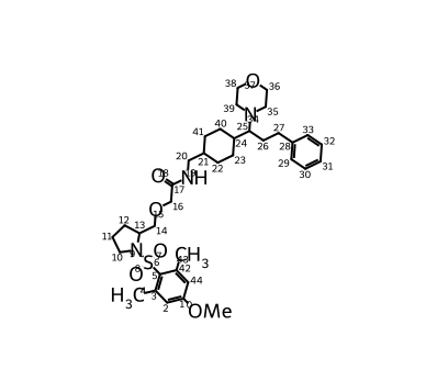 COc1cc(C)c(S(=O)(=O)N2CCCC2COCC(=O)NCC2CCC(C(CCc3ccccc3)N3CCOCC3)CC2)c(C)c1